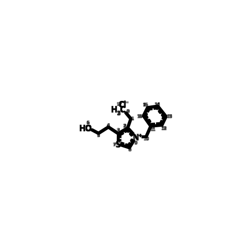 CCc1c(CCO)sc[n+]1Cc1ccccc1.[Cl-]